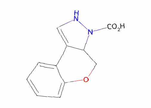 O=C(O)N1NC=C2c3ccccc3OCC21